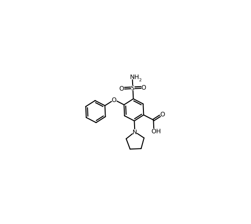 NS(=O)(=O)c1cc(C(=O)O)c(N2CCCC2)cc1Oc1ccccc1